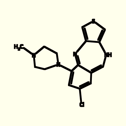 CN1CCN(c2cc(Cl)cc3c2=Nc2cscc2NC=3)CC1